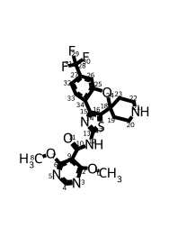 COc1ncnc(OC)c1C(=O)Nc1nc2c(s1)C1(CCNCC1)Oc1cc(C(F)(F)F)ccc1-2